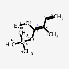 C=C/C(C)=C(\OCC)O[Si](C)(C)C